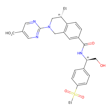 CC[C@H]1CN(c2ncc(C(=O)O)cn2)Cc2cc(C(=O)N[C@@H](CO)c3ccc(S(=O)(=O)CC)cc3)ccc21